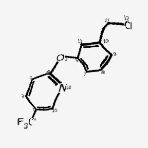 FC(F)(F)c1ccc(Oc2cccc(CCl)c2)nc1